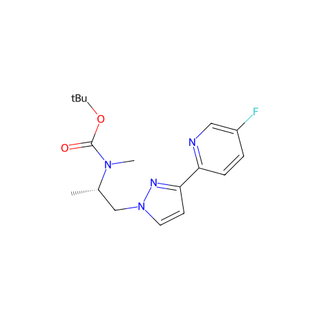 C[C@@H](Cn1ccc(-c2ccc(F)cn2)n1)N(C)C(=O)OC(C)(C)C